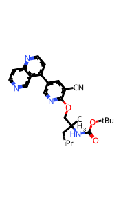 CC(C)CC(C)(COc1ncc(-c2ccnc3ccncc23)cc1C#N)NC(=O)OC(C)(C)C